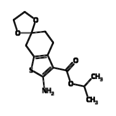 CC(C)OC(=O)c1c(N)sc2c1CCC1(C2)OCCO1